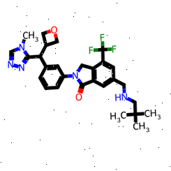 Cn1cnnc1C(c1cccc(N2Cc3c(cc(CNCC(C)(C)C)cc3C(F)(F)F)C2=O)c1)C1COC1